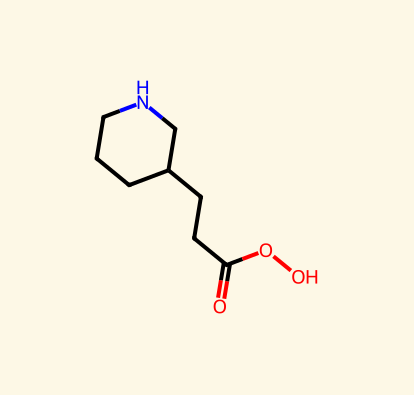 O=C(CCC1CCCNC1)OO